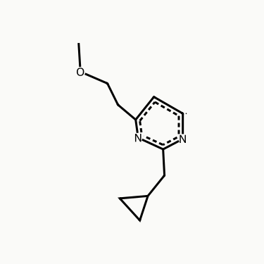 COCCc1c[c]nc(CC2CC2)n1